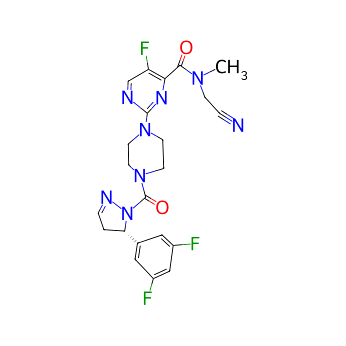 CN(CC#N)C(=O)c1nc(N2CCN(C(=O)N3N=CC[C@H]3c3cc(F)cc(F)c3)CC2)ncc1F